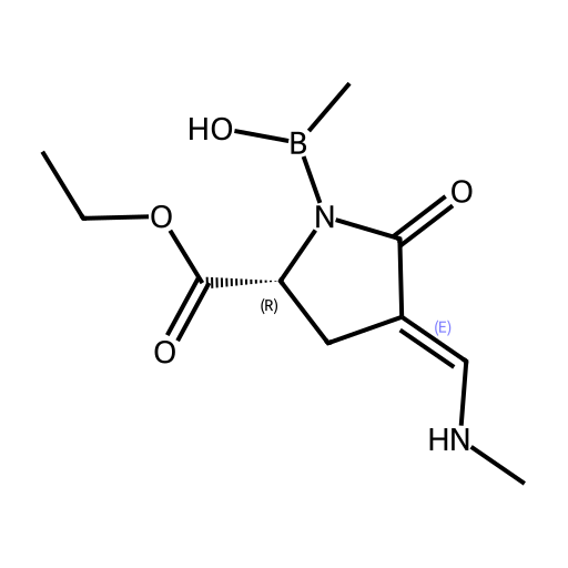 CCOC(=O)[C@H]1C/C(=C\NC)C(=O)N1B(C)O